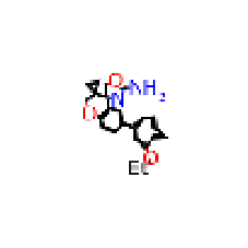 CCOC1=C/C(c2ccc3c(c2)C2(COC(N)=N2)C2(CC2)CO3)=C\C=C\C=C\1